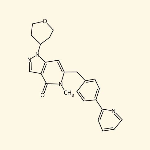 Cn1c(Cc2ccc(-c3ccccn3)cc2)cc2c(cnn2C2CCOCC2)c1=O